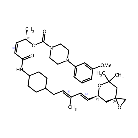 COc1cccc(N2CCN(C(=O)O[C@@H](C)/C=C\C(=O)NC3CCC(C/C=C(C)/C=C/[C@@H]4C[C@]5(CO5)CC(C)(C)O4)CC3)CC2)c1